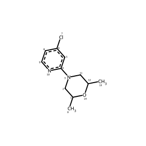 CC1CN(c2cc(Cl)ccn2)CC(C)O1